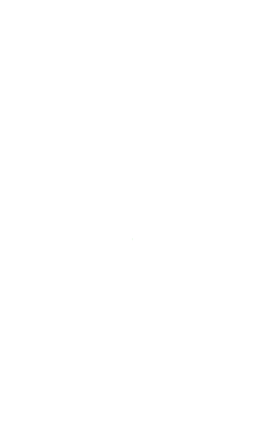 [O-][S+](c1ccc2c(c1)B(O)OC2)c1c(Cl)cccc1Cl